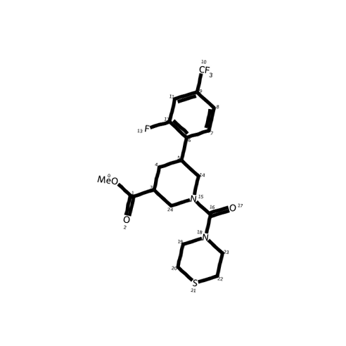 COC(=O)C1CC(c2ccc(C(F)(F)F)cc2F)CN(C(=O)N2CCSCC2)C1